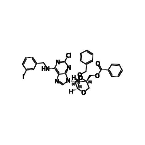 O=C(OC[C@]12CO[C@@H]([C@H](n3cnc4c(NCc5cccc(I)c5)nc(Cl)nc43)O1)[C@@H]2OCc1ccccc1)c1ccccc1